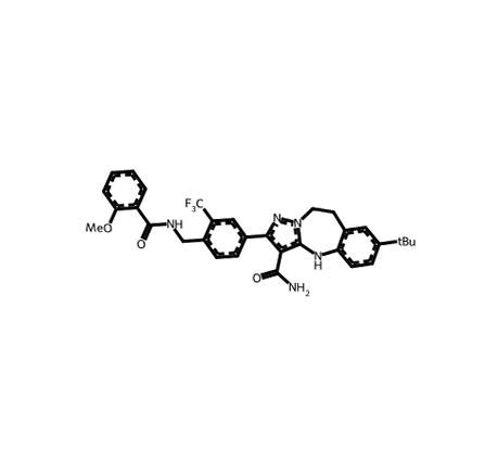 COc1ccccc1C(=O)NCc1ccc(-c2nn3c(c2C(N)=O)Nc2ccc(C(C)(C)C)cc2CC3)cc1C(F)(F)F